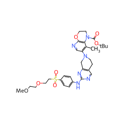 COCCOCCS(=O)(=O)c1ccc(Nc2ncc3c(n2)CN(c2cnc4c(c2C)N(C(=O)OC(C)(C)C)CCO4)CC3)cc1